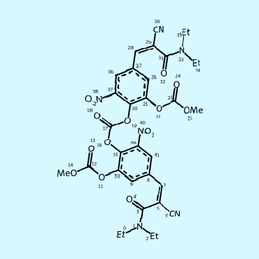 CCN(CC)C(=O)C(C#N)=Cc1cc(OC(=O)OC)c(OC(=O)Oc2c(OC(=O)OC)cc(C=C(C#N)C(=O)N(CC)CC)cc2[N+](=O)[O-])c([N+](=O)[O-])c1